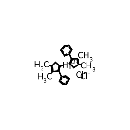 CC1=C(C)C(c2ccccc2)=[C]([Hf+2][C]2=C(c3ccccc3)C(C)=C(C)C2)C1.[Cl-].[Cl-]